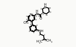 CC(C)CCNc1cccc(-c2cc(NC(=O)[C@@H]3CCCNC3)ncc2Cl)c1